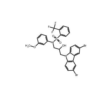 COc1cccc(N(CC(O)Cn2c3ccc(Br)cc3c3cc(Br)ccc32)S(=O)(=O)c2ccccc2C(F)(F)F)c1